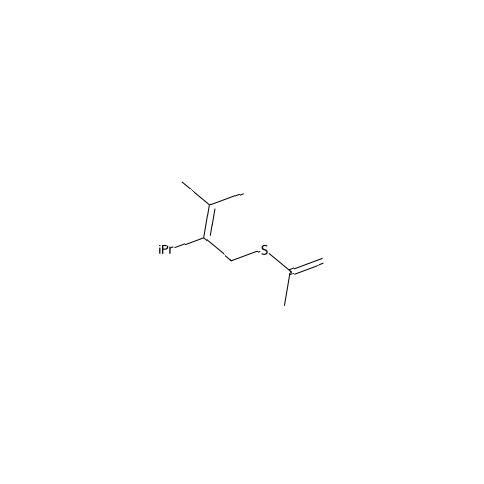 C=C(C)SCC(=C(C)C)C(C)C